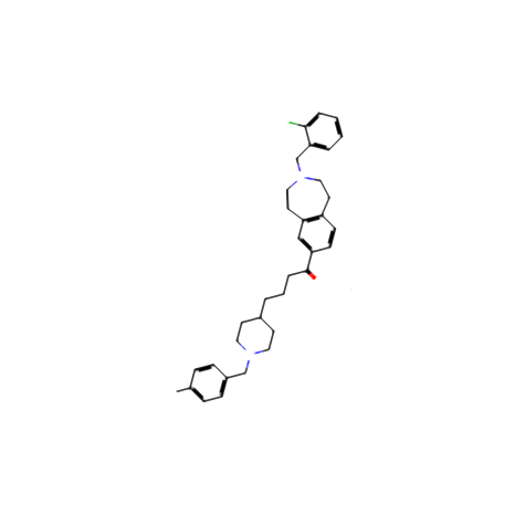 Cc1ccc(CN2CCC(CCCC(=O)c3ccc4c(c3)CCN(Cc3ccccc3Cl)CC4)CC2)cc1.Cl.Cl